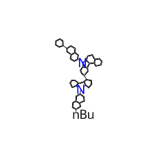 CCCCc1ccc2cc(-n3c4ccccc4c4c(-c5ccc6c(c5)c5c7ccccc7ccc5n6-c5ccc6cc(-c7ccccc7)ccc6c5)cccc43)ccc2c1